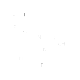 CSc1nc(OCC(F)(F)F)c2cncc(F)c2n1